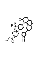 CCCC(=O)N1CCN(c2ccc(-n3c(=O)ccc4cnc5ccc(-c6cn[nH]c6)cc5c43)cc2C(F)(F)F)CC1